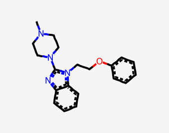 CN1CCN(c2nc3ccccc3n2CCOc2ccccc2)CC1